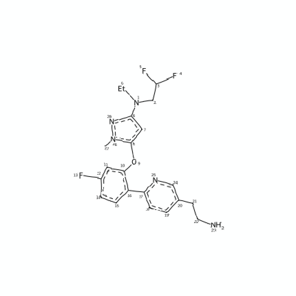 CCN(CC(F)F)c1cc(Oc2cc(F)ccc2-c2ccc(CCN)cn2)n(C)n1